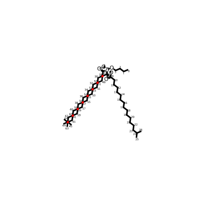 CCCC[O][Zr](=[O])([O]C(=O)CCCCCCCCCCCCCCC(C)C)([C](=O)CCCCCCCCCCCCCCC(C)C)[C](=O)CCCCCCCCCCCCCCC(C)C